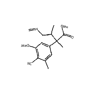 C=NCC(C)C(C)(C(=O)OC)c1cc(C)c(C#N)c(OC)c1